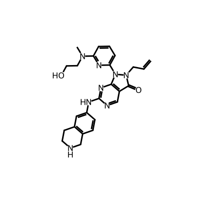 C=CCn1c(=O)c2cnc(Nc3ccc4c(c3)CCNC4)nc2n1-c1cccc(N(C)CCO)n1